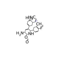 C/C=C\C1CC(C2=CC(N)C(OC=O)NC2C2C=CC(F)=C(C)C2)=CCC1N